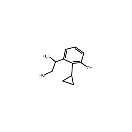 [CH2]C(CO)c1cccc(O)c1C1CC1